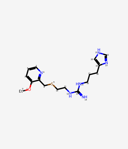 CCOc1cccnc1CSCCNC(=N)NCCCc1c[nH]cn1